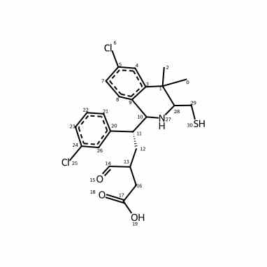 CC1(C)c2cc(Cl)ccc2C([C@H](CC(C=O)CC(=O)O)c2cccc(Cl)c2)NC1CS